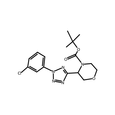 CC(C)(C)OC(=O)N1CCOCC1c1nnn(-c2cccc(Cl)c2)n1